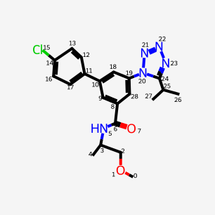 COCC(C)NC(=O)c1cc(-c2ccc(Cl)cc2)cc(-n2nnnc2C(C)C)c1